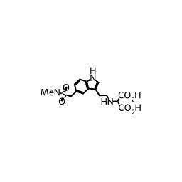 CNS(=O)(=O)Cc1ccc2[nH]cc(CCNC(C(=O)O)C(=O)O)c2c1